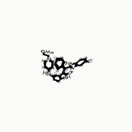 COCCN1CCC(Nc2ccc3c(c2)/C(=C(\c2ccccc2)c2nc4cc(Cl)ccc4[nH]2)C(=O)N3)CC1